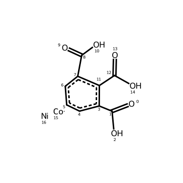 O=C(O)c1cccc(C(=O)O)c1C(=O)O.[Co].[Ni]